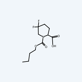 CCCCOC(=O)N1CC(F)(F)CCC1C(=O)O